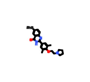 COc1ccc2nc(-c3cc(C)c(OCCN4CCCC4)c(C)c3)[nH]c(=O)c2c1